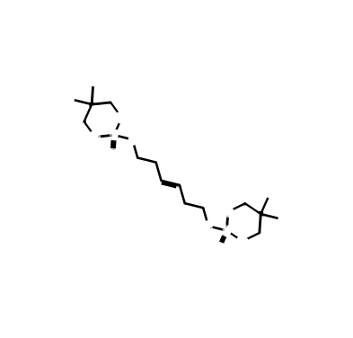 CC1(C)COP(=O)(SCCC=CCCSP2(=O)OCC(C)(C)CO2)OC1